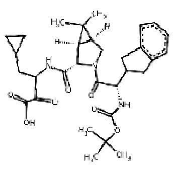 CC(C)(C)OC(=O)N[C@H](C(=O)N1C[C@H]2[C@@H]([C@H]1C(=O)NC(CC1CC1)C(=O)C(=O)O)C2(C)C)C1Cc2ccccc2C1